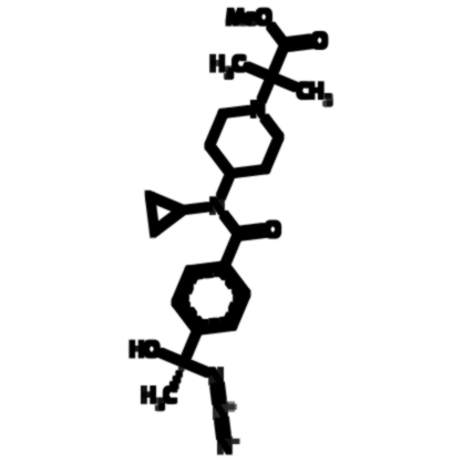 COC(=O)C(C)(C)N1CCC(N(C(=O)c2ccc([C@](C)(O)N=[N+]=[N-])cc2)C2CC2)CC1